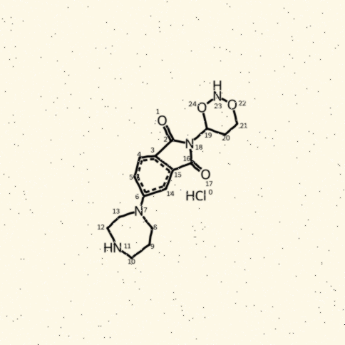 Cl.O=C1c2ccc(N3CCCNCC3)cc2C(=O)N1C1CCONO1